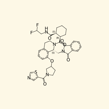 O=C(NCC(F)F)[C@H]1CCCC[C@H]1C(=O)N1CCc2cccc(OC3CCN(C(=O)c4cncs4)C3)c2[C@H]1CN1C(=O)c2ccccc2C1=O